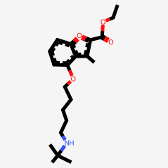 CCOC(=O)c1oc2cccc(OCCCCCNC(C)(C)C)c2c1C